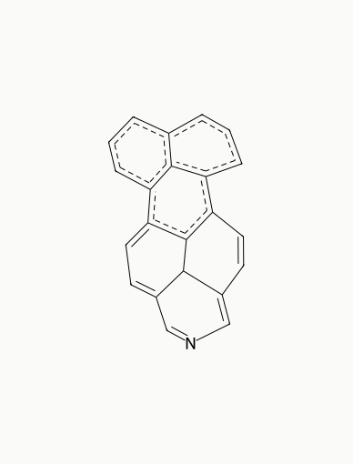 C1=Cc2c3c(c4cccc5cccc2c54)=CC=C2C=NC=C1C23